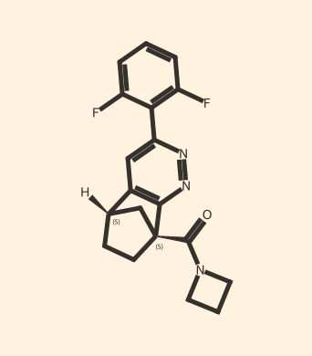 O=C(N1CCC1)[C@@]12CC[C@@H](C1)c1cc(-c3c(F)cccc3F)nnc12